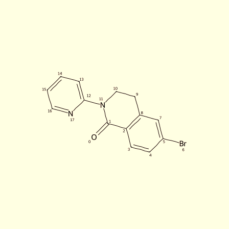 O=C1c2ccc(Br)cc2CCN1c1ccccn1